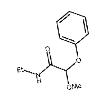 CCNC(=O)C(OC)Oc1ccccc1